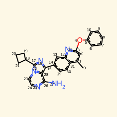 Cc1cc(Oc2ccccc2)nc2cc(-c3nc(C4CCC4)n4ccnc(N)c34)ccc12